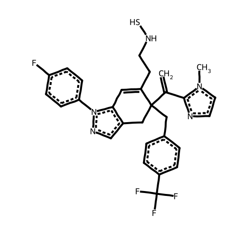 C=C(c1nccn1C)C1(Cc2ccc(C(F)(F)F)cc2)Cc2cnn(-c3ccc(F)cc3)c2C=C1CCNS